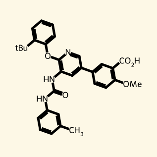 COc1ccc(-c2cnc(Oc3ccccc3C(C)(C)C)c(NC(=O)Nc3cccc(C)c3)c2)cc1C(=O)O